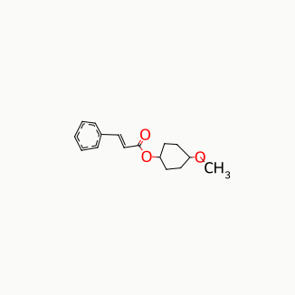 COC1CCC(OC(=O)C=Cc2ccccc2)CC1